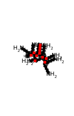 C[SiH](CCCCCCN)O[Si](C)(CCCCCCN)O[Si](C)(CCCCCCN)O[Si](C)(CCCCCCN)O[Si](C)(CCCCCCN)O[Si](C)(CCCCCCN)O[Si](C)(CCCCCCN)O[Si](C)(CCCCCCN)O[Si](C)(CCCCCCN)O[Si](C)(CCCCCCN)O[Si](C)(C)C